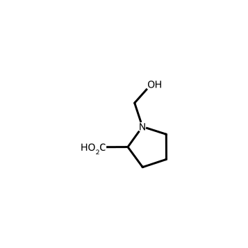 O=C(O)C1CCCN1CO